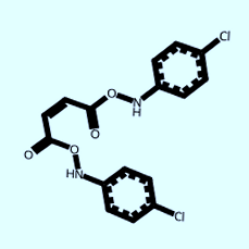 O=C(/C=C\C(=O)ONc1ccc(Cl)cc1)ONc1ccc(Cl)cc1